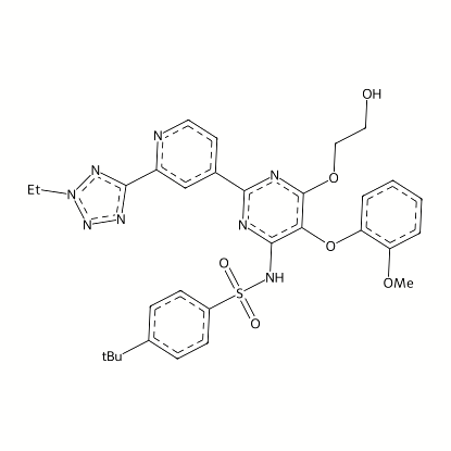 CCn1nnc(-c2cc(-c3nc(NS(=O)(=O)c4ccc(C(C)(C)C)cc4)c(Oc4ccccc4OC)c(OCCO)n3)ccn2)n1